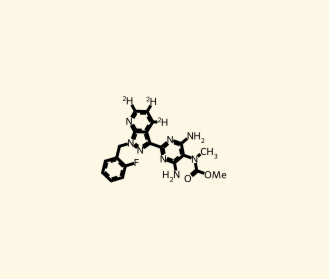 [2H]c1nc2c(c(-c3nc(N)c(N(C)C(=O)OC)c(N)n3)nn2Cc2ccccc2F)c([2H])c1[2H]